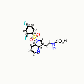 O=C(O)NCCc1cn(S(=O)(=O)c2ccc(F)cc2F)c2cccnc12